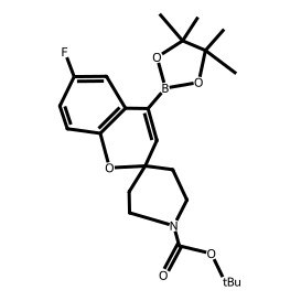 CC(C)(C)OC(=O)N1CCC2(C=C(B3OC(C)(C)C(C)(C)O3)c3cc(F)ccc3O2)CC1